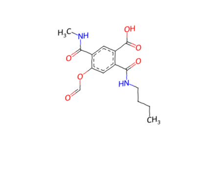 CCCCNC(=O)c1cc(OC=O)c(C(=O)NC)cc1C(=O)O